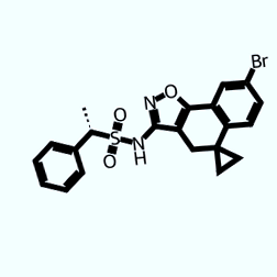 C[C@@H](c1ccccc1)S(=O)(=O)Nc1noc2c1CC1(CC1)c1ccc(Br)cc1-2